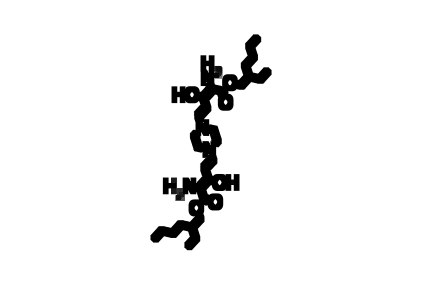 CCCCC(CC)COC(=O)/C(N)=C(O)\C=C\N1CCN(/C=C/C(O)=C(\N)C(=O)OCC(CC)CCCC)CC1